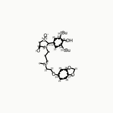 CN(CCCN1C(=O)C[S+]([O-])C1c1cc(C(C)(C)C)c(O)c(C(C)(C)C)c1)CCOc1ccc2c(c1)OCO2